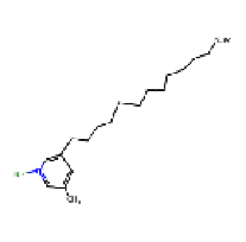 CCCCCCCCCCCCCCCCCCCCCCc1cc(C)c[n+](Br)c1